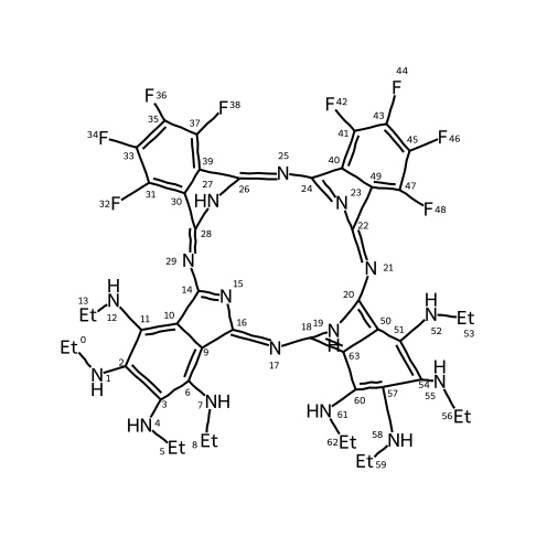 CCNc1c(NCC)c(NCC)c2c(c1NCC)-c1nc-2nc2[nH]c(nc3nc(nc4[nH]c(n1)c1c(F)c(F)c(F)c(F)c41)-c1c(F)c(F)c(F)c(F)c1-3)c1c(NCC)c(NCC)c(NCC)c(NCC)c21